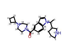 CC(C1CCCNC1)n1ccc2cc(C(=O)N3CCN(C4CCC4)CC3)ccc21